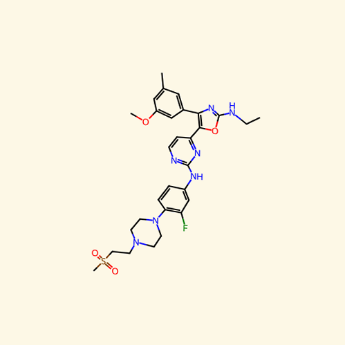 CCNc1nc(-c2cc(C)cc(OC)c2)c(-c2ccnc(Nc3ccc(N4CCN(CCS(C)(=O)=O)CC4)c(F)c3)n2)o1